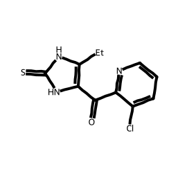 CCc1[nH]c(=S)[nH]c1C(=O)c1ncccc1Cl